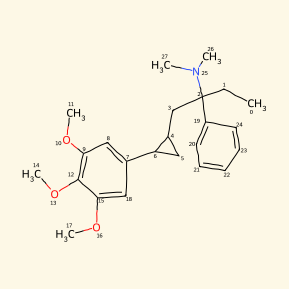 CCC(CC1CC1c1cc(OC)c(OC)c(OC)c1)(c1ccccc1)N(C)C